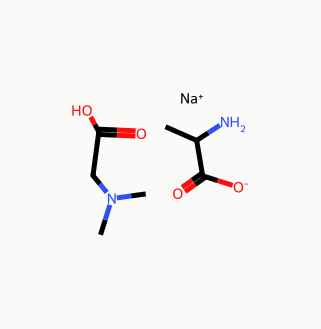 CC(N)C(=O)[O-].CN(C)CC(=O)O.[Na+]